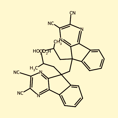 CC(CC1(CC2(CC(C)C(=O)O)c3ccccc3-c3nc(C#N)c(C#N)nc32)c2ccccc2-c2nc(C#N)c(C#N)nc21)C(=O)O